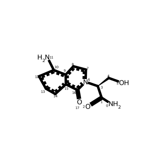 NC(=O)[C@H](CO)n1ccc2c(N)cccc2c1=O